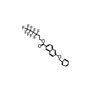 O=C(OCCC(F)(F)C(F)(F)C(F)(F)C(F)(F)F)c1ccc2cc(OCc3ccccc3)ccc2c1